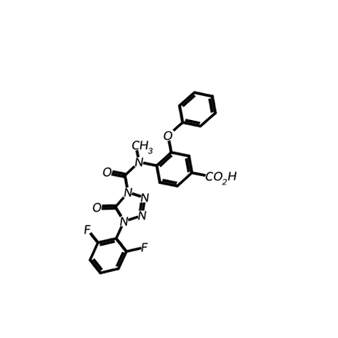 CN(C(=O)n1nnn(-c2c(F)cccc2F)c1=O)c1ccc(C(=O)O)cc1Oc1ccccc1